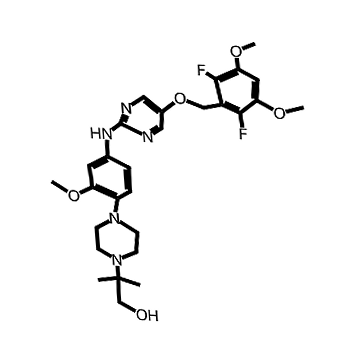 COc1cc(Nc2ncc(OCc3c(F)c(OC)cc(OC)c3F)cn2)ccc1N1CCN(C(C)(C)CO)CC1